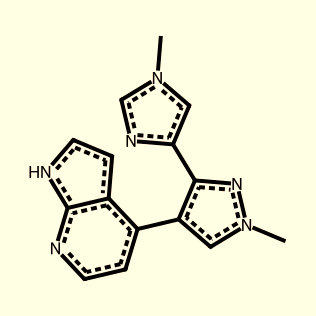 Cn1cnc(-c2nn(C)cc2-c2ccnc3[nH]ccc23)c1